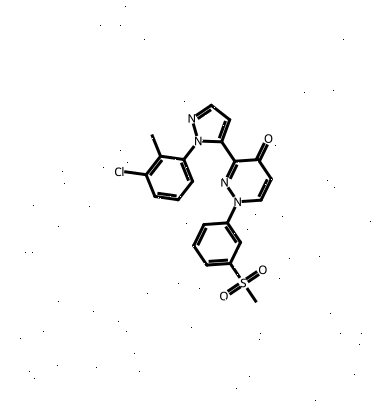 Cc1c(Cl)cccc1-n1nccc1-c1nn(-c2cccc(S(C)(=O)=O)c2)ccc1=O